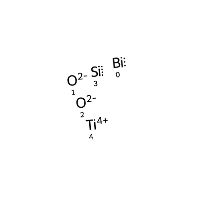 [Bi].[O-2].[O-2].[Si].[Ti+4]